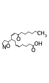 CCCCCCC(=O)/C=C\C(C/C=C\CCCC(=O)O)C1CC=NO1